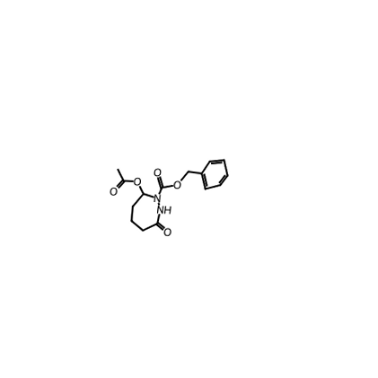 CC(=O)OC1CCCC(=O)NN1C(=O)OCc1ccccc1